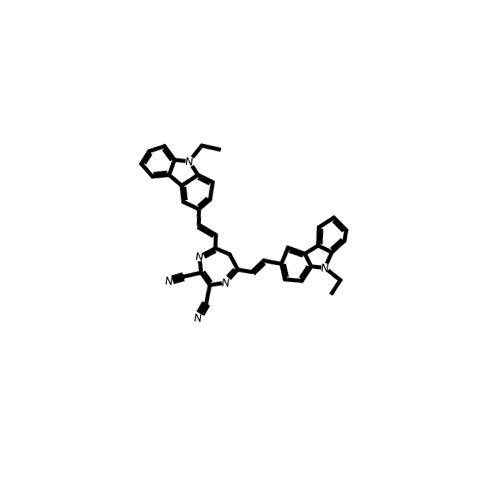 CCn1c2ccccc2c2cc(/C=C/C3=NC(C#N)=C(C#N)N=C(/C=C/c4ccc5c(c4)c4ccccc4n5CC)C3)ccc21